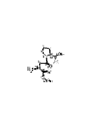 CCC(O)[C@@H]1CCCN1C(=O)CN(C)C(=O)OC(C)(C)C